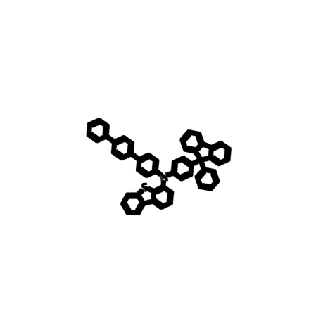 c1ccc(-c2ccc(-c3ccc(N(c4ccc(C5(c6ccccc6)c6ccccc6-c6ccccc65)cc4)c4cccc5c4sc4ccccc45)cc3)cc2)cc1